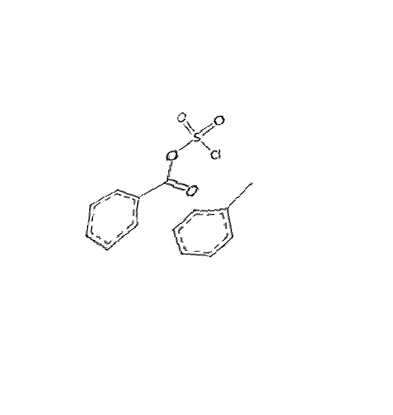 Cc1ccccc1.O=C(OS(=O)(=O)Cl)c1ccccc1